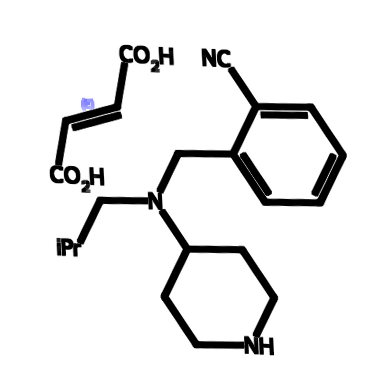 CC(C)CN(Cc1ccccc1C#N)C1CCNCC1.O=C(O)/C=C/C(=O)O